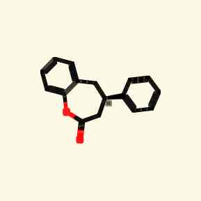 O=C1C[C@H](c2ccccc2)Cc2ccccc2O1